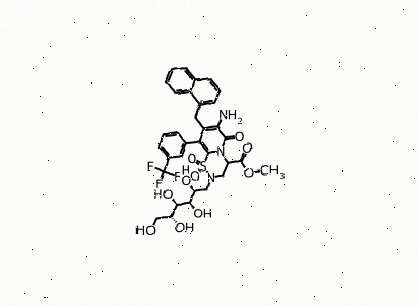 COC(=O)C1CN(C[C@H](O)[C@@H](O)[C@H](O)[C@H](O)CO)S(=O)(=O)c2c(-c3cccc(C(F)(F)F)c3)c(Cc3cccc4ccccc34)c(N)c(=O)n21